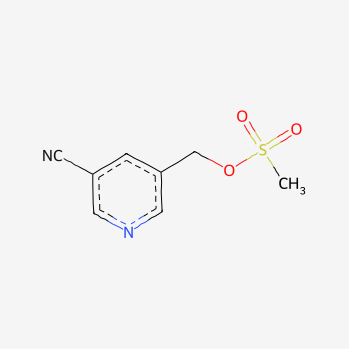 CS(=O)(=O)OCc1cncc(C#N)c1